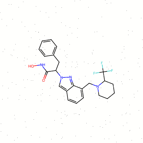 O=C(NO)C(Cc1ccccc1)n1cc2cccc(CN3CCCCC3C(F)(F)F)c2n1